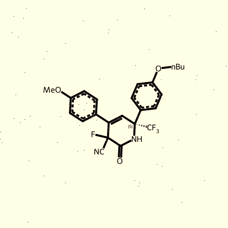 CCCCOc1ccc([C@]2(C(F)(F)F)C=C(c3ccc(OC)cc3)C(F)(C#N)C(=O)N2)cc1